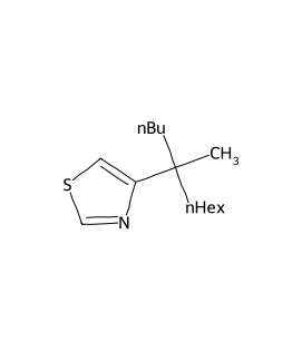 CCCCCCC(C)(CCCC)c1cscn1